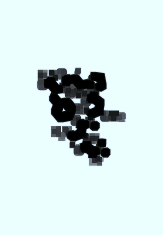 CC[C@H](C)[C@@H]([C@@H](CC(=O)N1CCC[C@H]1[C@H](OC)[C@@H](C)C(=O)N[C@@H](Cc1ccccc1)C(N)=O)OC)N(C)C(=O)[C@@H](NC(=O)C(C(C)C)N(C)C)[C@H](C)N